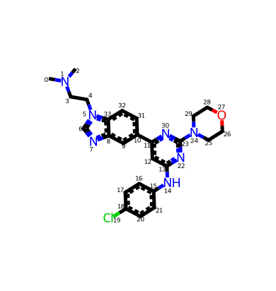 CN(C)CCn1cnc2cc(-c3cc(Nc4ccc(Cl)cc4)nc(N4CCOCC4)n3)ccc21